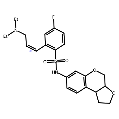 CCN(CC)C/C=C\c1cc(F)ccc1S(=O)(=O)Nc1ccc2c(c1)OCC1OCCC21